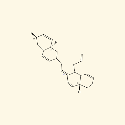 C=CCC1/C(=C\CC2C=CC3C[C@@H](I)C=C[C@H]3C2)C=C[C@H]2CCC=CC12